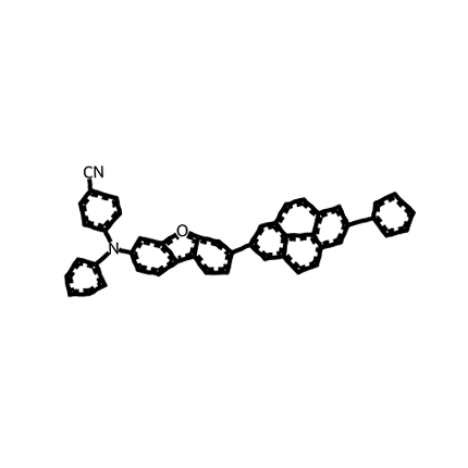 N#Cc1ccc(N(c2ccccc2)c2ccc3c(c2)oc2cc(-c4cc5ccc6cc(-c7ccccc7)cc7ccc(c4)c5c67)ccc23)cc1